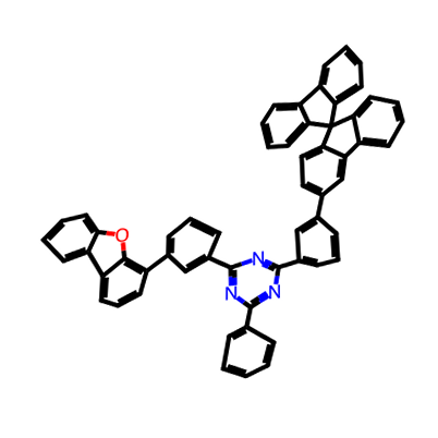 c1ccc(-c2nc(-c3cccc(-c4ccc5c(c4)-c4ccccc4C54c5ccccc5-c5ccccc54)c3)nc(-c3cccc(-c4cccc5c4oc4ccccc45)c3)n2)cc1